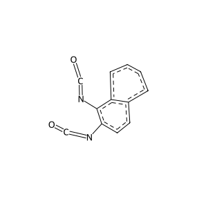 O=C=Nc1ccc2ccccc2c1N=C=O